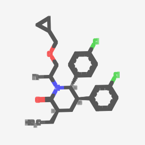 CCC(COCC1CC1)N1C(=O)[C@H](CC(=O)O)C[C@H](c2cccc(Cl)c2)[C@H]1c1ccc(Cl)cc1